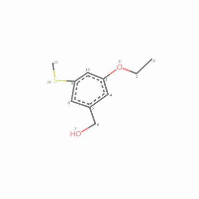 CCOc1cc(CO)cc(SC)c1